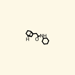 O=C(CC1C[C@@H]2CCC1O2)NC1CCCCC1